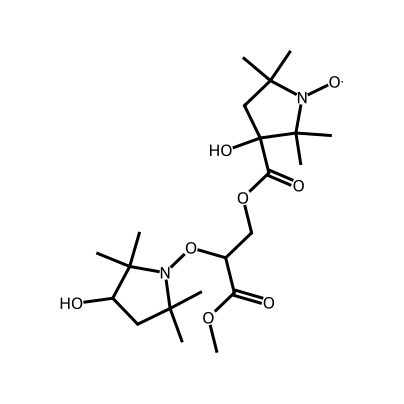 COC(=O)C(COC(=O)C1(O)CC(C)(C)N([O])C1(C)C)ON1C(C)(C)CC(O)C1(C)C